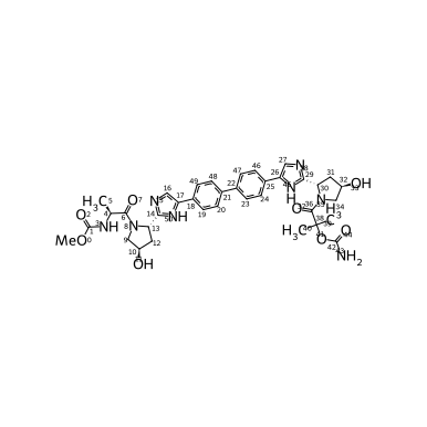 COC(=O)N[C@@H](C)C(=O)N1C[C@H](O)C[C@H]1c1ncc(-c2ccc(-c3ccc(-c4cnc([C@@H]5C[C@@H](O)CN5C(=O)C(C)(C)OC(N)=O)[nH]4)cc3)cc2)[nH]1